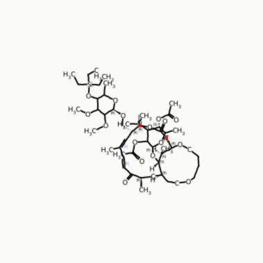 CC[Si](CC)(CC)OC1C(C)O[C@@H](OC[C@H]2/C=C(C)/C=C/C(=O)[C@H](C)C[C@@H]3CCOCCCCO[C@H](CC(=O)O[C@@H]2I)[C@H](C)[C@H]3O[C@@H]2OC(C)[C@@H](OC(C)=O)C(N(C)C)C2OC(C)=O)C(OC)C1OC